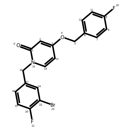 O=c1cc(OCc2ccc(F)cc2)ccn1Cc1ccc(F)c(Br)c1